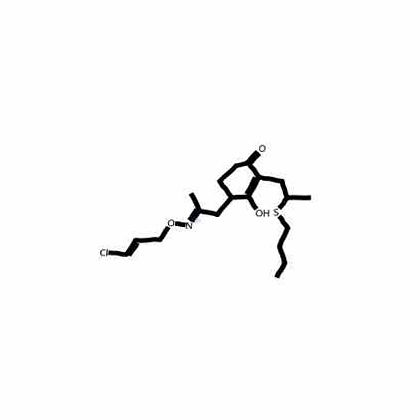 CCCCSC(C)CC1=C(O)C(C/C(C)=N/OCC=CCl)CCC1=O